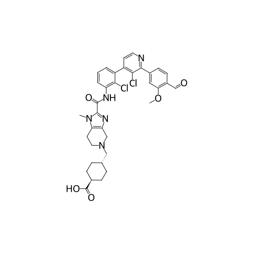 COc1cc(-c2nccc(-c3cccc(NC(=O)c4nc5c(n4C)CCN(C[C@H]4CC[C@H](C(=O)O)CC4)C5)c3Cl)c2Cl)ccc1C=O